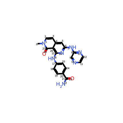 Cn1ccc2cc(Nc3cnccn3)nc(Nc3ccc(C(N)=O)cc3)c2c1=O